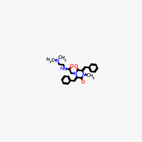 CN(C)CCNC(=O)Cn1c(=O)c(=Cc2ccccc2)n(C)c(=O)c1=Cc1ccccc1